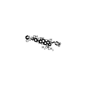 C=C(C)[C@@H]1CC[C@]2(NCCN3CCS(=O)(=O)CC3)CC[C@]3(C)C(CC[C@@H]4[C@@]5(C)CC=C(C6=CCC(CCOc7ncccc7Cl)(C(=O)O)CC6)C(C)(C)[C@@H]5CC[C@]43C)[C@@H]12